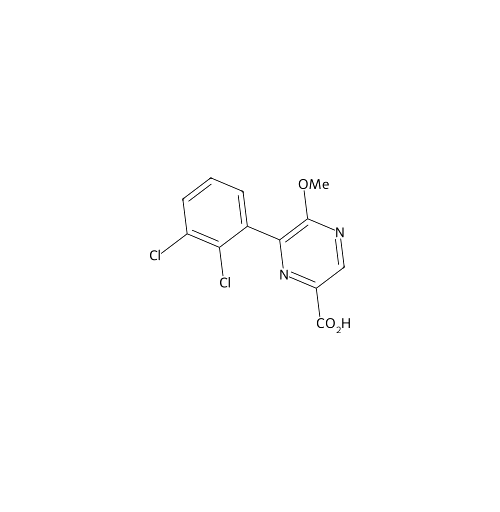 COc1ncc(C(=O)O)nc1-c1cccc(Cl)c1Cl